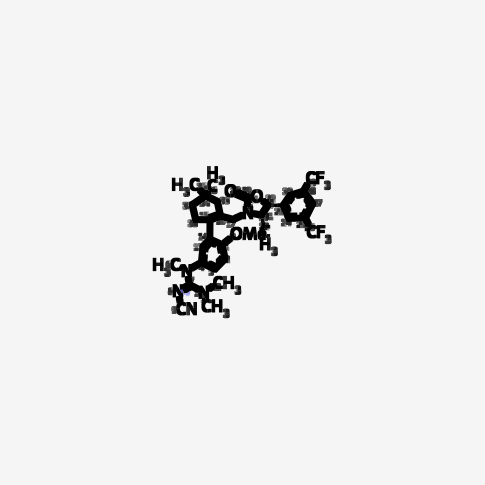 COc1ccc(N(C)/C(=N/C#N)N(C)C)cc1C1=C(CN2C(=O)O[C@H](c3cc(C(F)(F)F)cc(C(F)(F)F)c3)[C@@H]2C)CC(C)(C)CC1